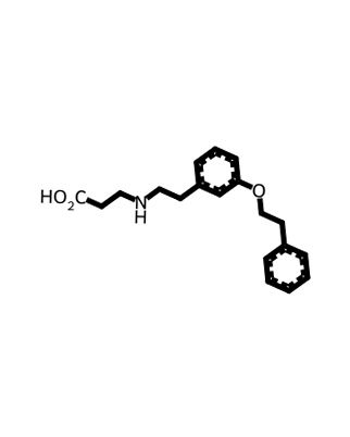 O=C(O)CCNCCc1cccc(OCCc2ccccc2)c1